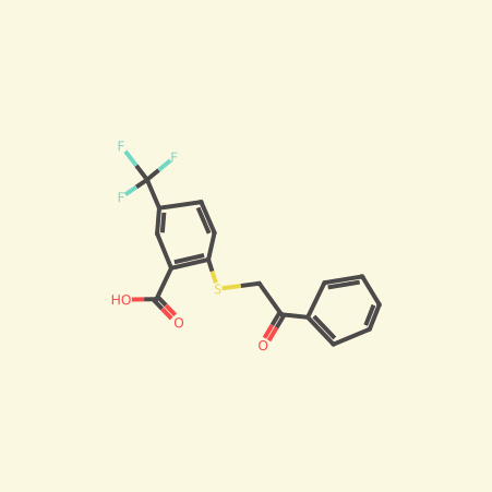 O=C(CSc1ccc(C(F)(F)F)cc1C(=O)O)c1ccccc1